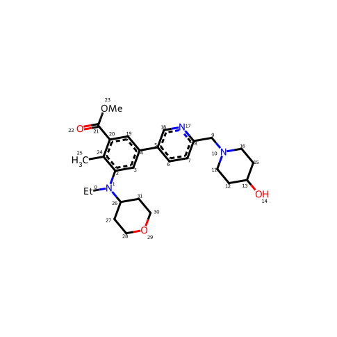 CCN(c1cc(-c2ccc(CN3CCC(O)CC3)nc2)cc(C(=O)OC)c1C)C1CCOCC1